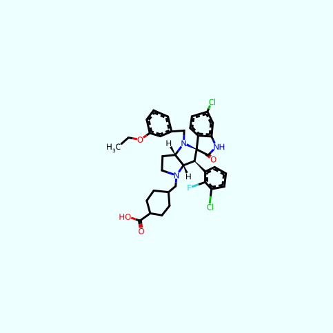 CCOc1cccc(CN2[C@H]3CCN(CC4CCC(C(=O)O)CC4)[C@H]3[C@H](c3cccc(Cl)c3F)[C@]23C(=O)Nc2cc(Cl)ccc23)c1